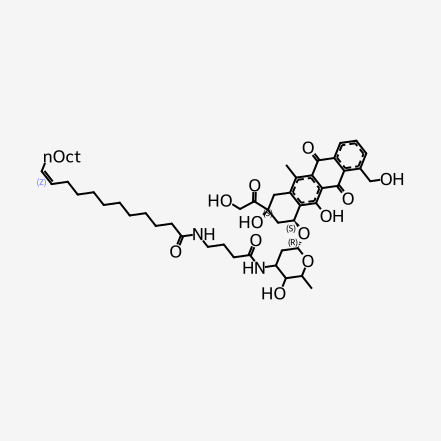 CCCCCCCC/C=C\CCCCCCCCCC(=O)NCCCC(=O)NC1C[C@H](O[C@H]2C[C@](O)(C(=O)CO)Cc3c(C)c4c(c(O)c32)C(=O)c2c(CO)cccc2C4=O)OC(C)C1O